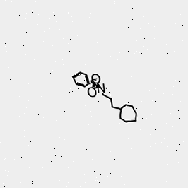 O=S(=O)([N]CCCC1CCCCCC1)c1ccccc1